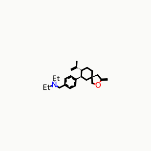 C=C1C[C@@]2(CC[C@@H](C(=C)C)[C@H](c3ccc(CN(CC)CC)cc3)C2)CO1